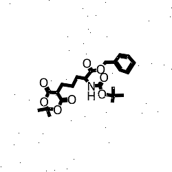 CC(C)(C)OC(=O)NC(CCCC1C(=O)OC(C)(C)OC1=O)C(=O)OCc1ccccc1